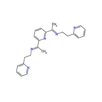 C/C(=N\CCc1ccccn1)c1cccc(/C(C)=N/CCc2ccccn2)n1